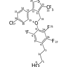 OCCCc1cc(F)c(OCc2c(-c3ccc(Cl)cc3)csc2C(F)(F)F)c(F)c1F